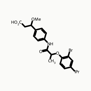 COC(CC(=O)O)c1ccc(NC(=O)C(C)Oc2ccc(C(C)C)cc2Br)cc1